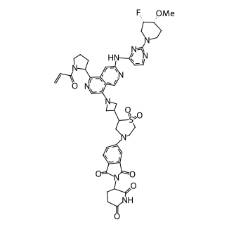 C=CC(=O)N1CCCC1c1ncc(N2CC(C3CN(c4ccc5c(c4)C(=O)N(C4CCC(=O)NC4=O)C5=O)CCS3(=O)=O)C2)c2cnc(Nc3ccnc(N4CC[C@@H](OC)[C@@H](F)C4)n3)cc12